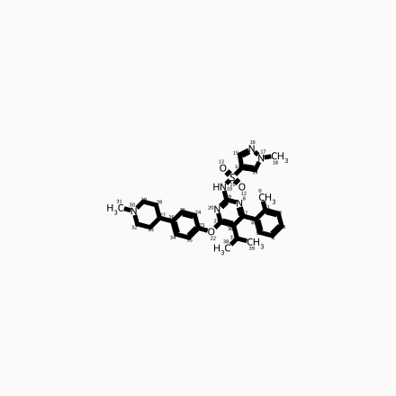 Cc1ccccc1-c1nc(NS(=O)(=O)c2cnn(C)c2)nc(Oc2ccc(C3CCN(C)CC3)cc2)c1C(C)C